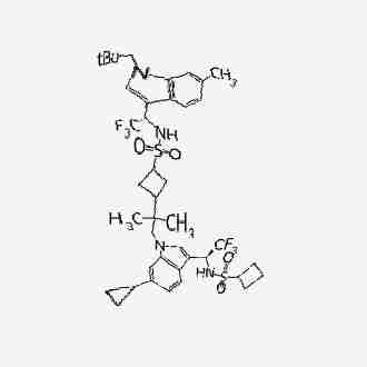 Cc1ccc2c([C@H](NS(=O)(=O)C3CC(C(C)(C)Cn4cc([C@H](NS(=O)(=O)C5CCC5)C(F)(F)F)c5ccc(C6CC6)cc54)C3)C(F)(F)F)cn(CC(C)(C)C)c2c1